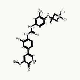 CCOc1cc(-c2ccc(NC(=O)Nc3ccc(OC4(C)CS(O)(O)C4)c(C(F)(F)F)c3)c(F)c2)c[nH]c1=O